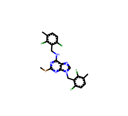 CSc1nc(NCc2c(F)ccc(C)c2F)c2ncn(Cc3c(F)ccc(C)c3F)c2n1